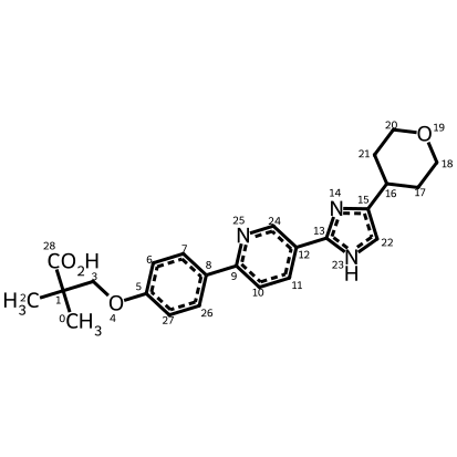 CC(C)(COc1ccc(-c2ccc(-c3nc(C4CCOCC4)c[nH]3)cn2)cc1)C(=O)O